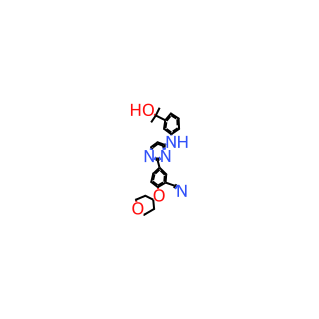 CC(C)(O)c1cccc(Nc2ccnc(-c3ccc(OC4CCOCC4)c(C#N)c3)n2)c1